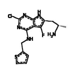 C[C@H](N)Cc1[nH]c2nc(Cl)nc(NCc3cccs3)c2c1F